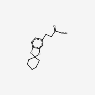 COC(=O)CCc1ccc2c(c1)OC1(CCCCC1)O2